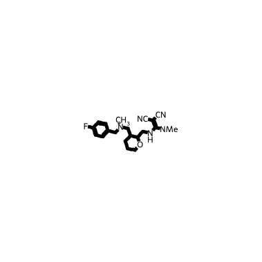 CNC(NCC1OCCCC1CN(C)Cc1ccc(F)cc1)=C(C#N)C#N